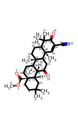 COC(=O)[C@]12CCC(C)(C)C[C@H]1[C@H]1C(=O)CC3[C@@]4(C)C=C(C#N)C(=O)C(C)(C)[C@@H]4CC[C@@]3(C)[C@]1(C)CC2